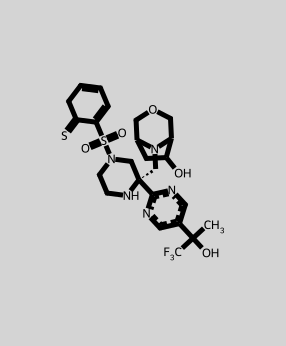 CC(O)(c1cnc([C@]2(CN3C4COCC3C(O)C4)CN(S(=O)(=O)C3=CC=CCC3=S)CCN2)nc1)C(F)(F)F